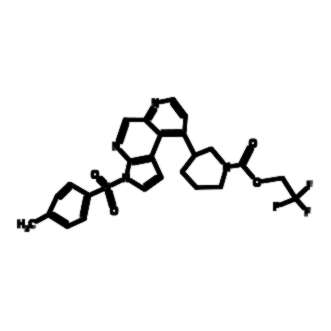 Cc1ccc(S(=O)(=O)n2ccc3c4c(C5CCCN(C(=O)OCC(F)(F)F)C5)ccnc4cnc32)cc1